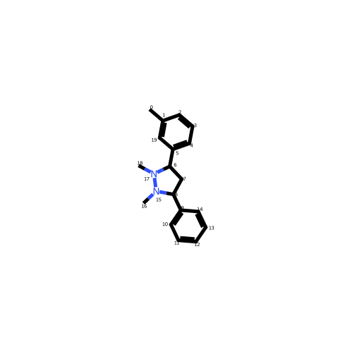 Cc1cccc(C2CC(c3ccccc3)N(C)N2C)c1